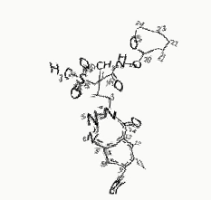 CC(CCn1nnc2cc(Br)ccc2c1=O)(C(=O)NOC1CCCCO1)S(C)(=O)=O